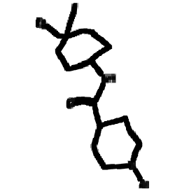 CCC1(C)CCC(NC(=O)C2CCN(C(C)=O)CC2)CC1